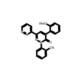 COc1ccccc1-c1cc(-c2cccnn2)nn(-c2ccccc2C#N)c1=O